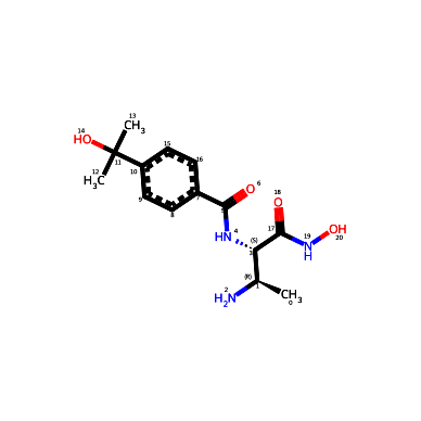 C[C@@H](N)[C@H](NC(=O)c1ccc(C(C)(C)O)cc1)C(=O)NO